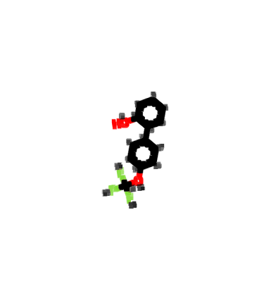 Oc1ccc[c]c1-c1ccc(OC(F)(F)F)cc1